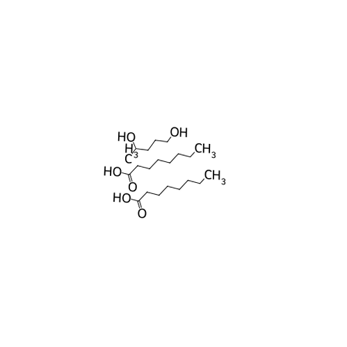 CC(O)CCCO.CCCCCCCC(=O)O.CCCCCCCC(=O)O